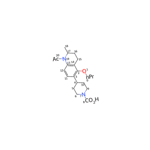 CCCOc1c(C2CCN(C(=O)O)CC2)ccc2c1CCC(C)N2C(C)=O